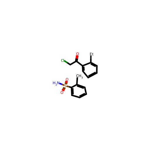 CCc1ccccc1C(=O)CCl.Cc1ccccc1S(N)(=O)=O